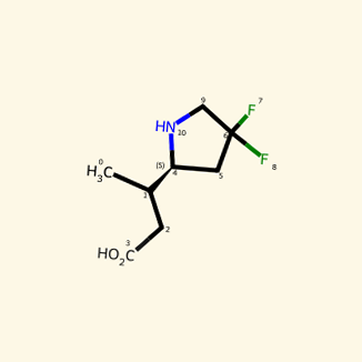 CC(CC(=O)O)[C@@H]1CC(F)(F)CN1